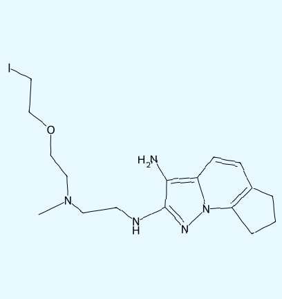 CN(CCNc1nn2c3c(ccc2c1N)CCC3)CCOCCI